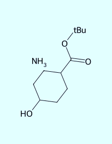 CC(C)(C)OC(=O)C1CCC(O)CC1.N